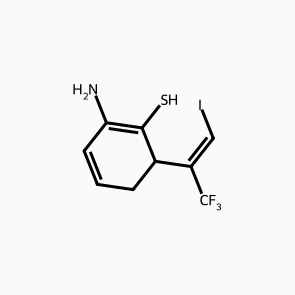 NC1=C(S)C(/C(=C\I)C(F)(F)F)CC=C1